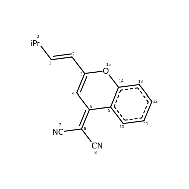 CC(C)/C=C/C1=CC(=C(C#N)C#N)c2ccccc2O1